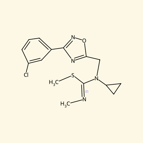 C/N=C(\SC)N(Cc1nc(-c2cccc(Cl)c2)no1)C1CC1